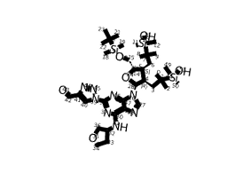 CC(C)(C[C@@H]1[C@H](CC(C)(C)[Si](C)(C)O)[C@@H](CO[Si](C)(C)C(C)(C)C)O[C@H]1n1cnc2c(NC3CCOC3)nc(-n3cc(C=O)nn3)nc21)[Si](C)(C)O